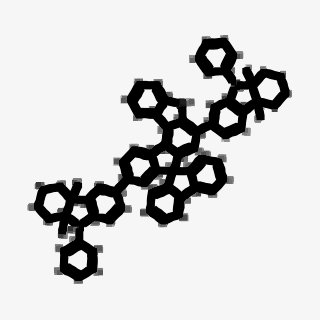 CC12CCCCC1(C)N(c1ccccc1)c1cc(-c3cc4c(c5c3oc3ccccc35)-c3ccc(-c5ccc6c(c5)C5(C)CCCCC5(C)N6c5ccccc5)cc3C43c4ccccc4-c4ccccc43)ccc12